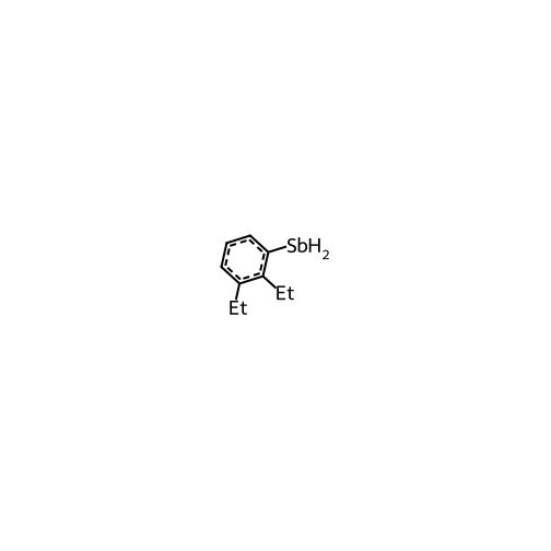 CCc1ccc[c]([SbH2])c1CC